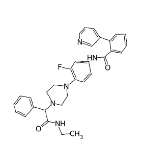 CCNC(=O)C(c1ccccc1)N1CCN(c2ccc(NC(=O)c3ccccc3-c3cccnc3)cc2F)CC1